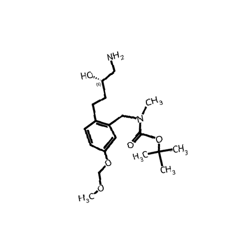 COCOc1ccc(CC[C@H](O)CN)c(CN(C)C(=O)OC(C)(C)C)c1